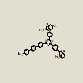 CC[C@@H]1C[C@@H]2C[C@H](C)CC(c3ccc(-c4nc(-c5ccc(-c6ccc(-c7ccc(C#N)cc7)cc6)cc5)nc(-c5ccc(C67C[C@H]8CC[C@@H](C6)[C@]8(C)C7)cc5)n4)cc3)(C1)C2